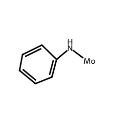 [Mo][NH]c1ccccc1